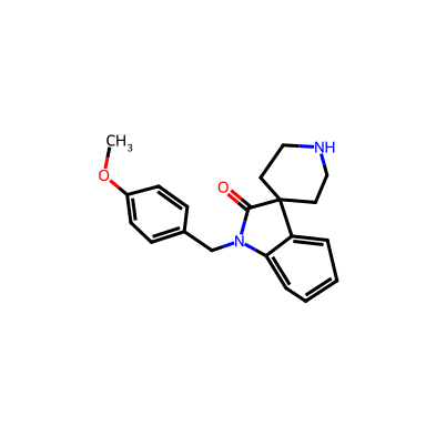 COc1ccc(CN2C(=O)C3(CCNCC3)c3ccccc32)cc1